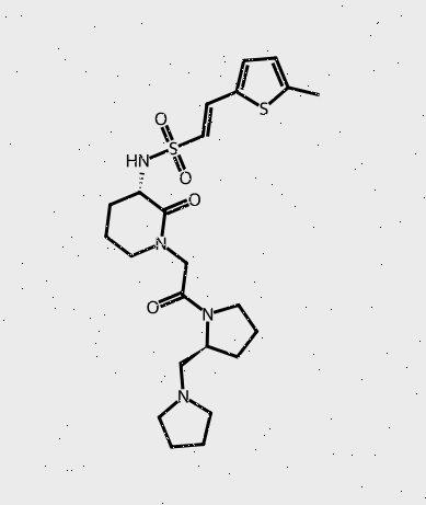 Cc1ccc(/C=C/S(=O)(=O)N[C@H]2CCCN(CC(=O)N3CCC[C@H]3CN3CCCC3)C2=O)s1